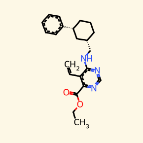 C=Cc1c(NC[C@H]2CCC[C@@H](c3ccccc3)C2)ncnc1C(=O)OCC